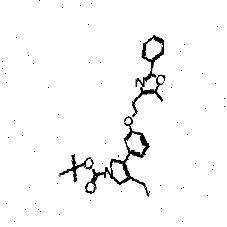 CCC1=C(c2cccc(OCCc3nc(-c4ccccc4)oc3C)c2)CN(C(=O)OC(C)(C)C)C1